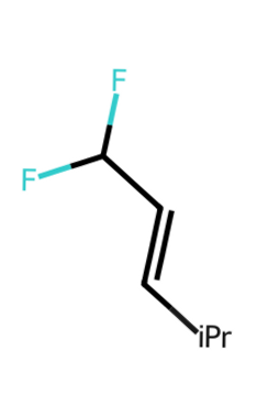 CC(C)C=CC(F)F